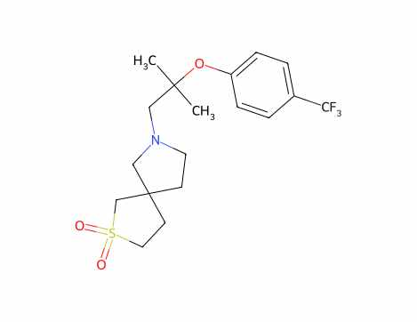 CC(C)(CN1CCC2(CCS(=O)(=O)C2)C1)Oc1ccc(C(F)(F)F)cc1